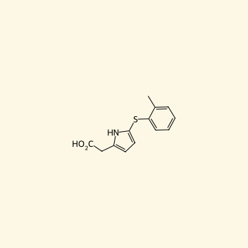 Cc1ccccc1Sc1ccc(CC(=O)O)[nH]1